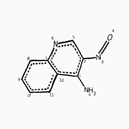 Nc1c(N=O)cnc2ccccc12